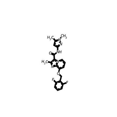 Cc1nc2c(OCc3c(F)cccc3F)cccn2c1C(=O)Nc1cc(C)n(C)n1